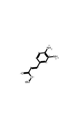 CC(C)(C)OC(=O)C=Cc1ccc(N)c(N)c1